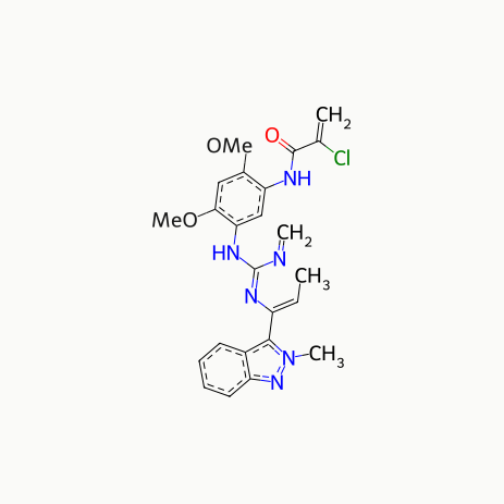 C=N/C(=N\C(=C/C)c1c2ccccc2nn1C)Nc1cc(NC(=O)C(=C)Cl)c(OC)cc1OC